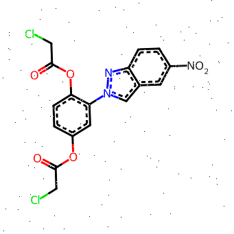 O=C(CCl)Oc1ccc(OC(=O)CCl)c(-n2cc3cc([N+](=O)[O-])ccc3n2)c1